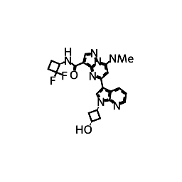 CNc1cc(-c2cn([C@H]3C[C@@H](O)C3)c3ncccc23)nc2c(C(=O)N[C@@H]3CCC3(F)F)cnn12